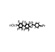 CCCCCCCCc1c(F)c(F)c(-c2c(F)c(F)c(OC(=O)C3CCC(CCC)CC3)c(F)c2F)c(F)c1F